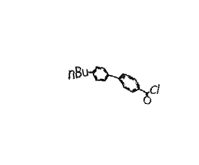 CCCCc1ccc(-c2ccc(C(=O)Cl)cc2)cc1